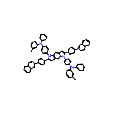 Cc1cccc(N(c2ccccc2)c2ccc(-n3c(-c4ccc(-c5ccc6ccccc6c5)cc4)cc4cc5c(cc(-c6ccc(-c7ccc8ccccc8c7)cc6)n5-c5ccc(N(c6ccccc6)c6cccc(C)c6)cc5)cc43)cc2)c1